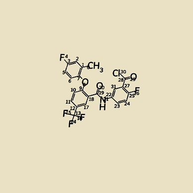 Cc1cc(F)ccc1Oc1ccc(C(F)(F)F)cc1C(=O)Nc1ccc(F)c(C(=O)Cl)c1